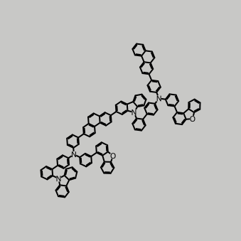 c1cc(-c2ccc3c(ccc4cc(-c5ccc6c7ccccc7n(-c7ccccc7-c7ccc(N(c8ccc(-c9ccc%10c(ccc%11ccccc%11%10)c9)cc8)c8cccc(-c9cccc%10oc%11ccccc%11c9%10)c8)cc7)c6c5)ccc43)c2)cc(N(c2ccc(-c3ccccc3-n3c4ccccc4c4ccccc43)cc2)c2cccc(-c3cccc4oc5ccccc5c34)c2)c1